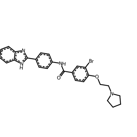 O=C(Nc1ccc(-c2nc3ccccc3[nH]2)cc1)c1ccc(OCCN2CCCC2)c(Br)c1